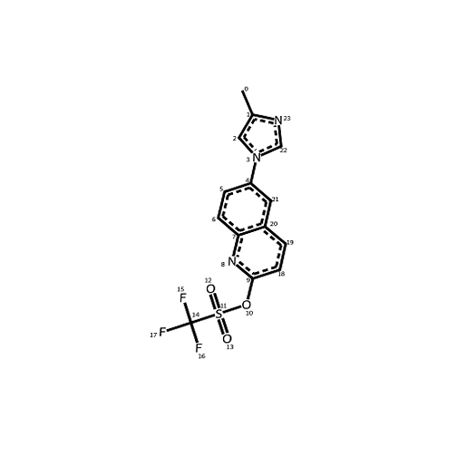 Cc1cn(-c2ccc3nc(OS(=O)(=O)C(F)(F)F)ccc3c2)cn1